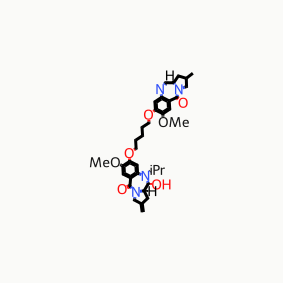 C=C1C[C@H]2[C@H](O)N(C(C)C)c3cc(OCCCCCOc4cc5c(cc4OC)C(=O)N4CC(C)C[C@H]4C=N5)c(OC)cc3C(=O)N2C1